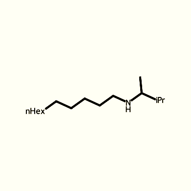 CCCCCCCCCCCNC(C)C(C)C